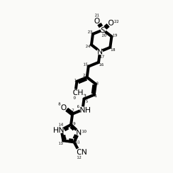 C/C=C(\C=C/CNC(=O)c1nc(C#N)c[nH]1)CCN1CCS(=O)(=O)CC1